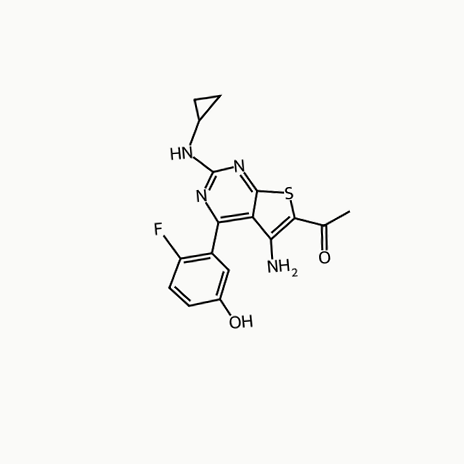 CC(=O)c1sc2nc(NC3CC3)nc(-c3cc(O)ccc3F)c2c1N